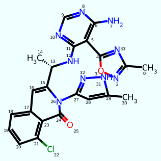 Cc1noc(-c2c(N)ncnc2N[C@@H](C)c2cc3cccc(Cl)c3c(=O)n2-c2cc(C)[nH]n2)n1